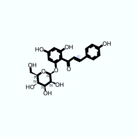 O=C(/C=C/c1ccc(O)cc1)c1c(O)cc(O)cc1O[C@@H]1O[C@H](CO)[C@@H](O)[C@H](O)[C@@H]1O